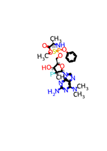 COC(=O)[C@H](C)NP(=S)(OC[C@H]1O[C@@H](n2cnc3c(N(C)C)nc(N)nc32)[C@](C)(F)[C@@H]1O)Oc1ccccc1